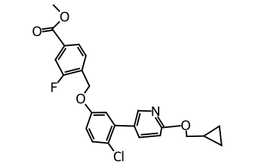 COC(=O)c1ccc(COc2ccc(Cl)c(-c3ccc(OCC4CC4)nc3)c2)c(F)c1